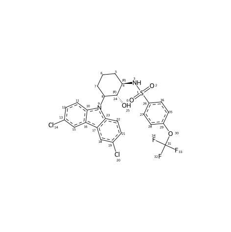 O=S(=O)(N[C@@H]1CCCC(n2c3ccc(Cl)cc3c3cc(Cl)ccc32)[C@H]1O)c1ccc(OC(F)(F)F)cc1